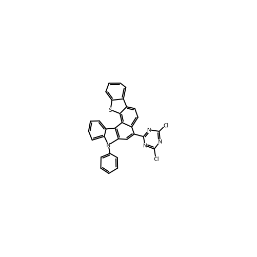 Clc1nc(Cl)nc(-c2cc3c(c4ccccc4n3-c3ccccc3)c3c2ccc2c4ccccc4sc23)n1